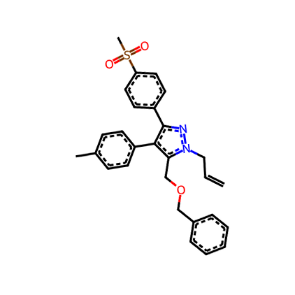 C=CCn1nc(-c2ccc(S(C)(=O)=O)cc2)c(-c2ccc(C)cc2)c1COCc1ccccc1